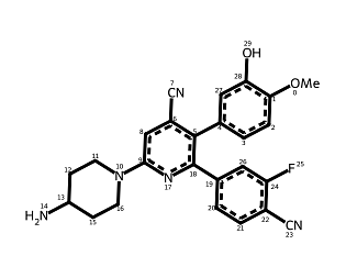 COc1ccc(-c2c(C#N)cc(N3CCC(N)CC3)nc2-c2ccc(C#N)c(F)c2)cc1O